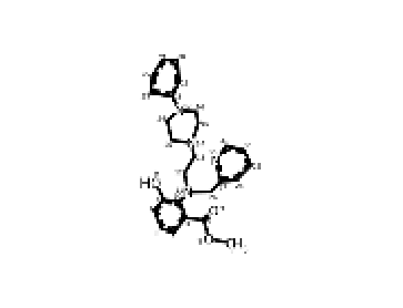 COC(=O)c1cccc(O)c1N(CCN1CCN(c2ccccc2)CC1)Cc1ccccn1